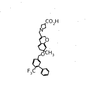 CC1(OCc2ccc(C(F)(F)F)c(-c3ccccc3)c2)C=C2OCC(CN3CC(C(=O)O)C3)=CC2=CC1